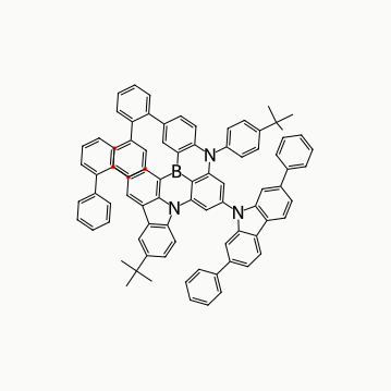 CC(C)(C)c1ccc(N2c3ccc(-c4ccccc4-c4ccccc4)cc3B3c4c2cc(-n2c5cc(-c6ccccc6)ccc5c5ccc(-c6ccccc6)cc52)cc4-n2c4ccc(C(C)(C)C)cc4c4cc(-c5ccccc5-c5ccccc5)cc3c42)cc1